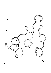 O=C([C@H](Cc1ccccc1)N(Cc1ccc(N2CCOCC2)nc1)C(=O)C=Cc1ccc(C(F)(F)F)nc1)N1CCC(Cc2ccccc2)CC1